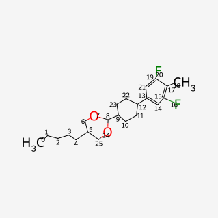 CCCCCC1COC(C2CCC(c3cc(F)c(C)c(F)c3)CC2)OC1